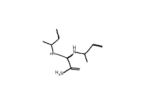 C=C([SiH3])C(NC(C)CC)NC(C)CC